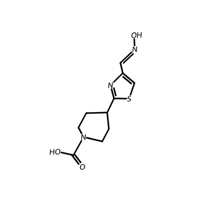 O=C(O)N1CCC(c2nc(C=NO)cs2)CC1